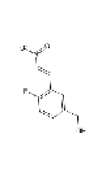 O=[N+]([O-])/C=C/c1cc(CO)ccc1F